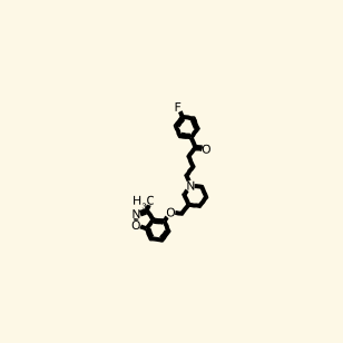 Cc1noc2cccc(OCC3CCCN(CCCC(=O)c4ccc(F)cc4)C3)c12